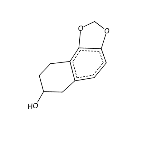 OC1CCc2c(ccc3c2OCO3)C1